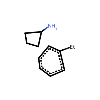 CCc1ccccc1.NC1CCC1